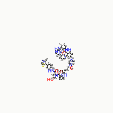 Cc1ccc(NC(=O)c2ccc(CN3CCN(C(=O)CCCCC(=O)N[C@H](C(=O)N4C[C@H](O)C[C@H]4C(=O)NCc4ccc(-c5scnc5C)cc4)C(C)(C)C)CC3)cc2)cc1Nc1nccc(-c2cccnc2)n1